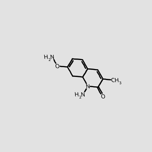 CC1=CC2=CC=C(ON)CC2N(N)C1=O